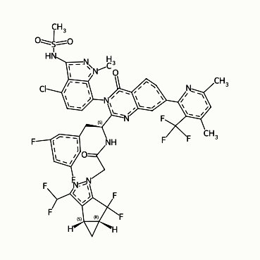 Cc1cc(C)c(C(F)(F)F)c(-c2ccc3c(=O)n(-c4ccc(Cl)c5c(NS(C)(=O)=O)nn(C)c45)c([C@H](Cc4cc(F)cc(F)c4)NC(=O)Cn4nc(C(F)F)c5c4C(F)(F)[C@@H]4C[C@H]54)nc3c2)n1